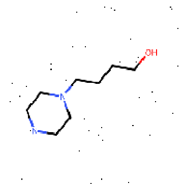 OCCCCN1CC[N]CC1